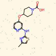 Cc1csc(Nc2cc(OC3CCN(C(=O)O)CC3)ccn2)n1